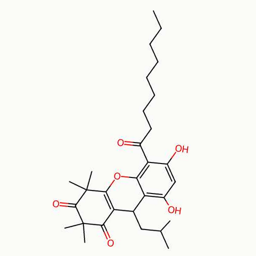 CCCCCCCCC(=O)c1c(O)cc(O)c2c1OC1=C(C(=O)C(C)(C)C(=O)C1(C)C)C2CC(C)C